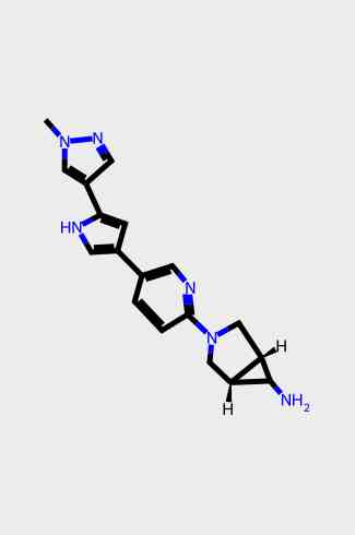 Cn1cc(-c2cc(-c3ccc(N4C[C@@H]5C(N)[C@@H]5C4)nc3)c[nH]2)cn1